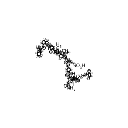 CCCC1(C)CC2(Cn3ncc(-c4ccc(N5CCc6cccc(C(=O)Nc7nc8ccccc8s7)c6C5)nc4C(=O)O)c3C)CCCC(OCCN(CCCS(=O)(=O)O)C(=O)OCc3ccc(NC(=O)[C@H](CCCNC(N)=O)NC(=O)[C@@H](NC(=O)CCCCCN4C(=O)C=CC4=O)C(C)C)cc3)(C1)C2